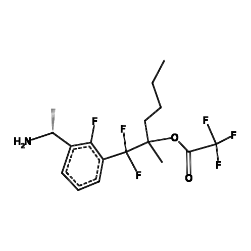 CCCCC(C)(OC(=O)C(F)(F)F)C(F)(F)c1cccc([C@@H](C)N)c1F